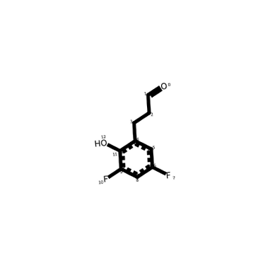 O=CCCc1cc(F)cc(F)c1O